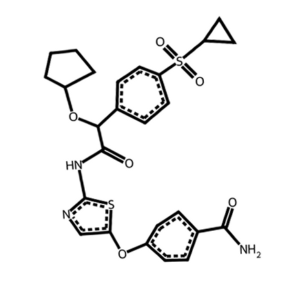 NC(=O)c1ccc(Oc2cnc(NC(=O)C(OC3CCCC3)c3ccc(S(=O)(=O)C4CC4)cc3)s2)cc1